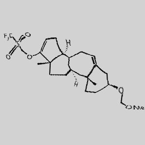 COCO[C@H]1CC[C@@]2(C)C(=CCC3[C@@H]2CC[C@]2(C)C(OS(=O)(=O)C(F)(F)F)=CC[C@@H]32)C1